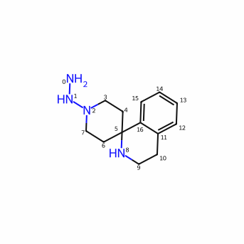 NNN1CCC2(CC1)NCCc1ccccc12